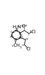 Cc1cccc(CCCl)c1CCCl.[NH3+][O-]